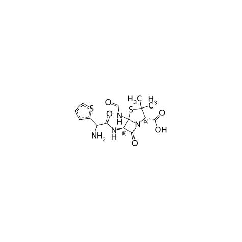 CC1(C)SC2(NC=O)[C@H](NC(=O)C(N)c3cccs3)C(=O)N2[C@H]1C(=O)O